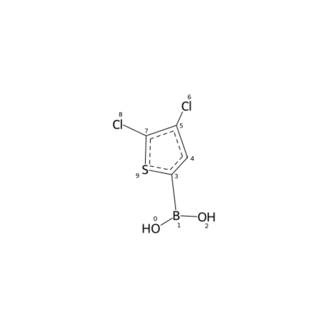 OB(O)c1cc(Cl)c(Cl)s1